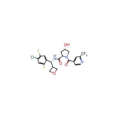 O=C(N[C@@H](c1cc(F)c(Cl)cc1F)C1COC1)[C@H]1C[C@H](O)CN1C(=O)c1ccnc(C(F)(F)F)c1